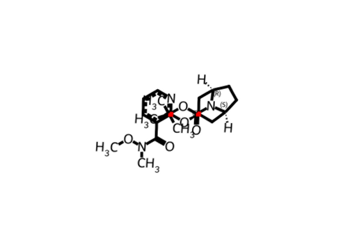 CON(C)C(=O)c1cccnc1O[C@H]1C[C@H]2CC[C@@H](C1)N2C(=O)OC(C)(C)C